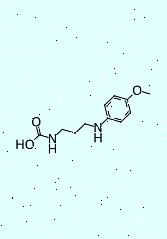 COc1ccc(NCCCNC(=O)O)cc1